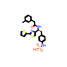 Cc1cccc(CC(=O)N[C@@H](Cc2ccc(NS(=O)(=O)O)cc2)c2csc(-c3cccs3)n2)c1